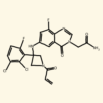 C=CC(=O)N1CC(Nc2cc(F)c3ncn(CC(N)=O)c(=O)c3c2)(c2c(F)ccc(Cl)c2Cl)C1